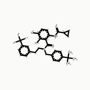 CC(C)(C)c1ccc(CN(CCc2cccc(C(F)(F)F)c2)C(=O)c2c(NC(=O)C3CC3)ccc(Cl)c2Cl)cc1